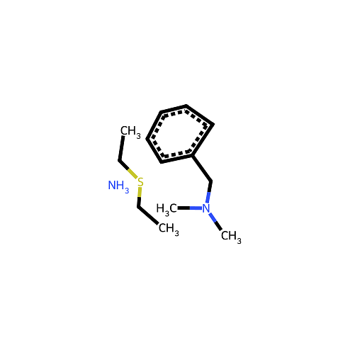 CCSCC.CN(C)Cc1ccccc1.N